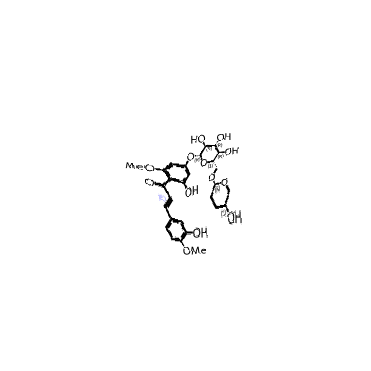 COc1ccc(/C=C/C(=O)c2c(O)cc(O[C@H]3O[C@@H](CO[C@@H]4CC[C@H](O)CO4)[C@H](O)[C@@H](O)[C@@H]3O)cc2OC)cc1O